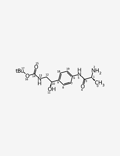 C[C@H](N)C(=O)Nc1ccc([C@@H](O)CNC(=O)OC(C)(C)C)cc1